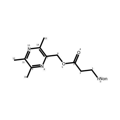 CCCCCCCCCCCC(=O)OCc1nc(C)c(C)nc1C